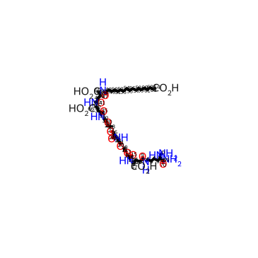 NNC(CCCCNC(=O)CCC(NC(=O)COCCOCCNC(=O)COCCOCCNC(=O)CC[C@H](NC(=O)CCC(NC(=O)CCCCCCCCCCCCCCCCC(=O)O)C(=O)O)C(=O)O)C(=O)O)C(N)=O